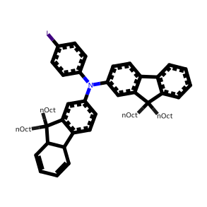 CCCCCCCCC1(CCCCCCCC)c2ccccc2-c2ccc(N(c3ccc(I)cc3)c3ccc4c(c3)C(CCCCCCCC)(CCCCCCCC)C3C=CC=CC43)cc21